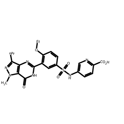 CCCc1nn(C)c2c(=O)[nH]c(-c3cc(S(=O)(=O)Nc4ccc(C(=O)O)nc4)ccc3OCC)nc12